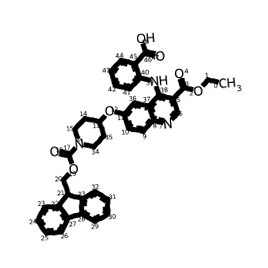 CCOC(=O)c1cnc2ccc(OC3CCN(C(=O)OCC4c5ccccc5-c5ccccc54)CC3)cc2c1Nc1ccccc1C(=O)O